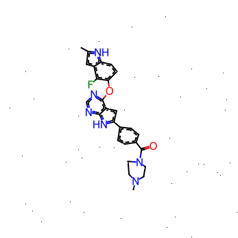 Cc1cc2c(F)c(Oc3ncnc4[nH]c(-c5ccc(C(=O)N6CCN(C)CC6)cc5)cc34)ccc2[nH]1